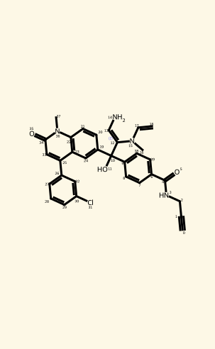 C#CCNC(=O)c1ccc(C(O)(/C(=C/N)N(C)C=C)c2ccc3c(c2)c(-c2cccc(Cl)c2)cc(=O)n3C)cc1